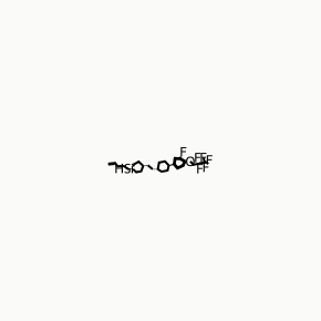 C=CCCC[Si@H]1CC[C@H](CC[C@H]2CC[C@H](c3ccc(OCC(F)(F)C(F)(F)F)c(F)c3)CC2)CC1